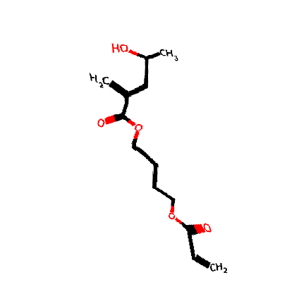 C=CC(=O)OCCCCOC(=O)C(=C)CC(C)O